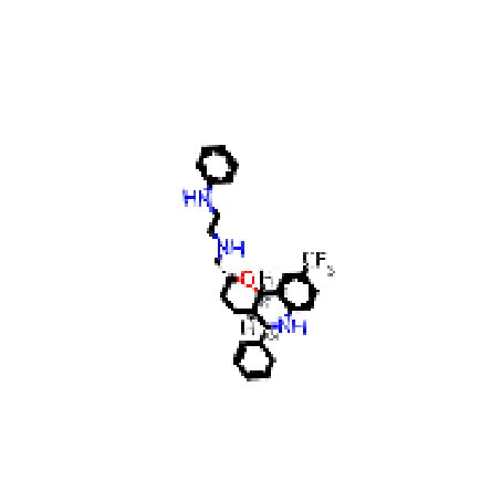 FC(F)(F)c1ccc2c(c1)[C@H]1O[C@@H](CNCCNc3ccccc3)CC[C@H]1[C@H](C1C=CC=CC1)N2